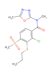 CCCSc1c(S(C)(=O)=O)ccc(C(=O)N(C)c2nnc(C)o2)c1Cl